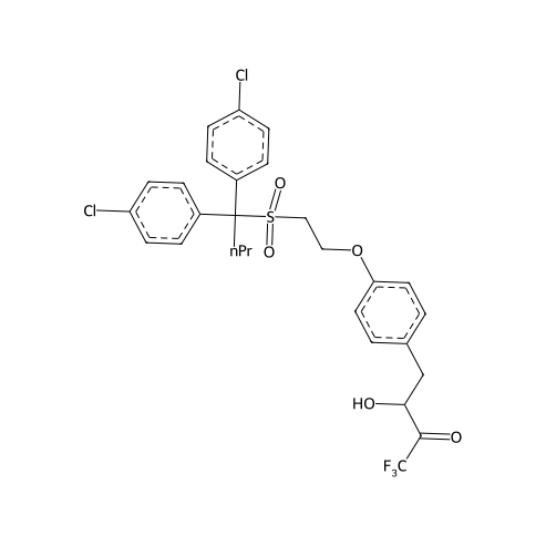 CCCC(c1ccc(Cl)cc1)(c1ccc(Cl)cc1)S(=O)(=O)CCOc1ccc(CC(O)C(=O)C(F)(F)F)cc1